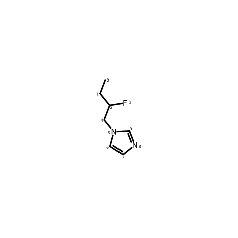 CCC(F)Cn1ccnc1